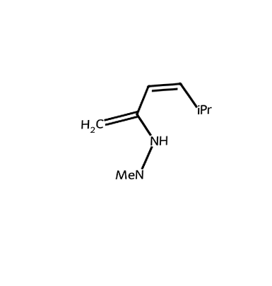 C=C(/C=C\C(C)C)NNC